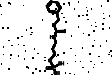 O=P(O)(O)OCCCNC(=S)OCc1ccccc1